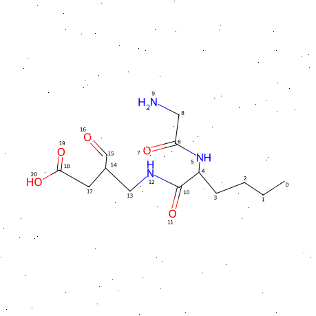 CCCCC(NC(=O)CN)C(=O)NCC(C=O)CC(=O)O